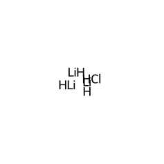 Cl.[LiH].[LiH].[LiH]